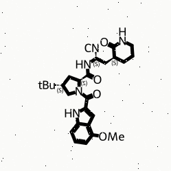 COc1cccc2[nH]c(C(=O)N3C[C@H](C(C)(C)C)C[C@H]3C(=O)N[C@H](C#N)C[C@@H]3CCCNC3=O)cc12